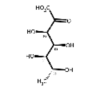 C[C@@H](O)[C@@H](O)[C@H](O)[C@@H](O)C(=O)C(=O)O